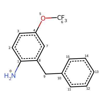 Nc1ccc(OC(F)(F)F)cc1Cc1ccccc1